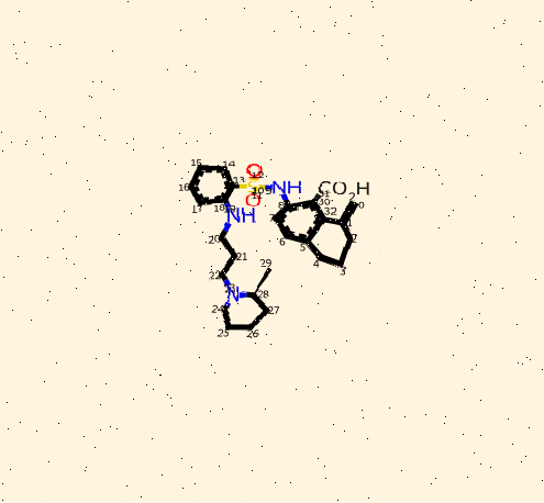 C=C1CCCc2ccc(NS(=O)(=O)c3ccccc3NCCCN3CCCC[C@@H]3C)c(C(=O)O)c21